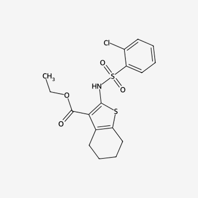 CCOC(=O)c1c(NS(=O)(=O)c2ccccc2Cl)sc2c1CCCC2